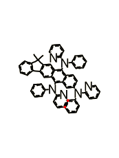 CC1(C)c2ccccc2-c2cc3c(N(c4ccccc4)c4ccccn4)c4cc(N(c5ccccc5)c5ccccn5)ccc4c(N(c4ccccc4)c4ccccn4)c3cc21